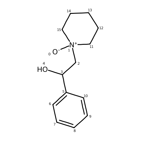 [O-][N+]1(CC(O)c2ccccc2)CCCCC1